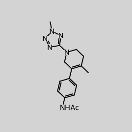 CC(=O)Nc1ccc(C2=C(C)CCN(c3nnn(C)n3)C2)cc1